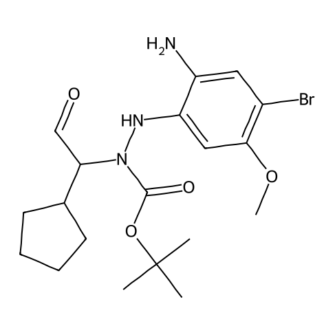 COc1cc(NN(C(=O)OC(C)(C)C)C(C=O)C2CCCC2)c(N)cc1Br